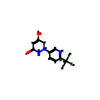 O=C1C=C(O)CN(c2ccc(C(F)(F)F)nc2)N1